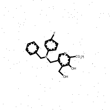 O=C(O)c1ncc(CN(Cc2ccccc2)c2ccc(F)cc2)c(CO)c1O